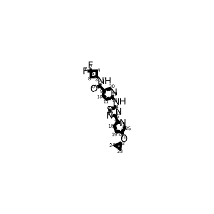 O=C(NC1CC(F)(F)C1)c1ccc(Nc2nc(-c3ccc(OC4CC4)cn3)ns2)nc1